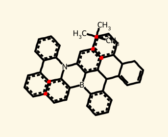 CC(C)(C)c1cc2c3c(c1)N(c1ccccc1-c1ccccc1)c1ccccc1B3c1ccccc1C2C1=CC=CCC1c1ccccc1